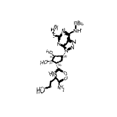 CCCCNc1nc(SCCC)nc2c1nnn2[C@@H]1C[C@H](C(=O)NC(CCO)C(N)=O)[C@@H](O)[C@H]1O